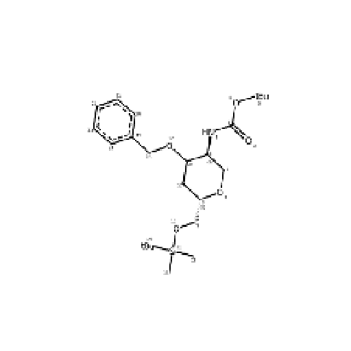 CC(C)(C)OC(=O)N[C@H]1CO[C@H](CO[Si](C)(C)C(C)(C)C)CC1OCc1ccccc1